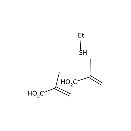 C=C(C)C(=O)O.C=C(C)C(=O)O.CCS